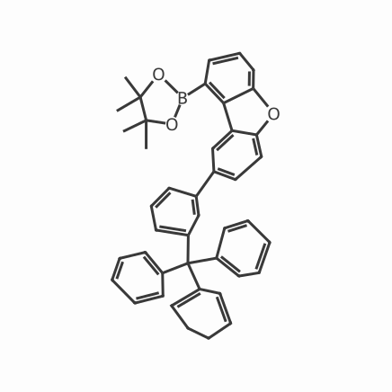 CC1(C)OB(c2cccc3oc4ccc(-c5cccc(C(C6=CCCC=C6)(c6ccccc6)c6ccccc6)c5)cc4c23)OC1(C)C